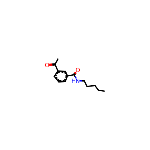 CCCCCNC(=O)c1cccc(C(C)=O)c1